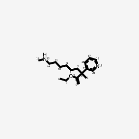 C=C(OCC)C(C)(CCCCCCNC)c1cccnc1